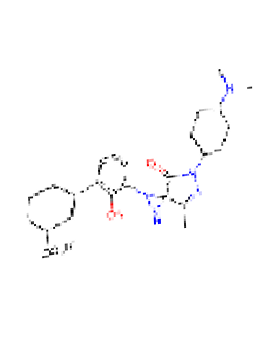 CC1=NN(C2CCC(N(C)C)CC2)C(=O)C12NN2c1cccc(C2CCCC(C(=O)O)C2)c1O